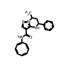 O=C(NC1=CC=CC=CC=C1)c1cnn2c1NC(c1ccccc1)CC2C(F)(F)F